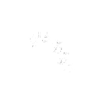 N=C(Nc1cccc(C(F)(F)F)c1)N[C@H]1CC[C@H](Nc2nccc(Nc3cc(C4CCCC4)[nH]n3)n2)CC1